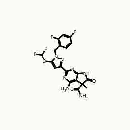 CC1(C(N)=O)C(=O)Nc2nc(-c3cc(OC(F)F)n(Cc4ccc(F)cc4F)n3)nc(N)c21